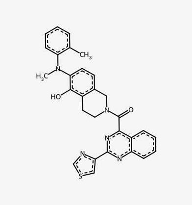 Cc1ccccc1N(C)c1ccc2c(c1O)CCN(C(=O)c1nc(-c3cscn3)nc3ccccc13)C2